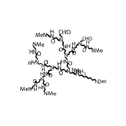 CCCCCCCCCCCCCCCCCCN(N)/C=C(\N)CN(CCC(=O)NCCN(CCC(=O)NCCN(CCC=O)CCC(=O)NCCNC)CCC(=O)NCCN(CCC=O)CCC(=O)NCCNC)CCC(=O)NCCN(CCC(=O)NCCN(CCC)CCC(=O)NCCNC)CCC(=O)NCCN(CCC(=O)NCCNC)CCC(=O)NCCNC